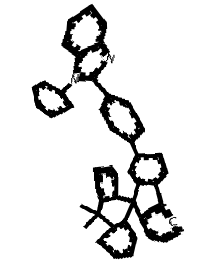 CC1(C)c2ccccc2C2(c3ccccc3-c3ccc(-c4ccc(-c5nc6ccccc6n5-c5ccccc5)cc4)cc32)c2ccccc21